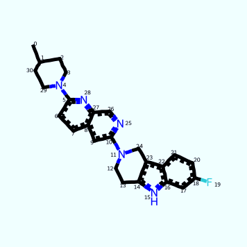 CC1CCN(c2ccc3cc(N4CCc5[nH]c6cc(F)ccc6c5C4)ncc3n2)CC1